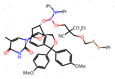 CCOC(=O)C(C#N)(COCSSC(C)C)COP(O[C@H]1C[C@H](n2cc(C)c(=O)[nH]c2=O)O[C@@H]1COC(c1ccccc1)(c1ccc(OC)cc1)c1ccc(OC)cc1)N(C(C)C)C(C)C